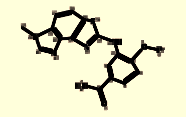 CC(C)Oc1ccc(C(N)=O)cc1Nc1nc2c(ccc3c2ncn3C)s1